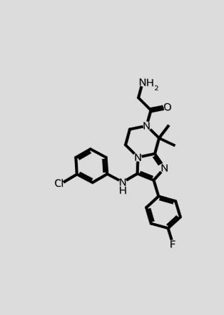 CC1(C)c2nc(-c3ccc(F)cc3)c(Nc3cccc(Cl)c3)n2CCN1C(=O)CN